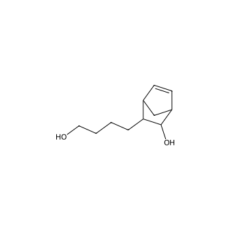 OCCCCC1C2C=CC(C2)C1O